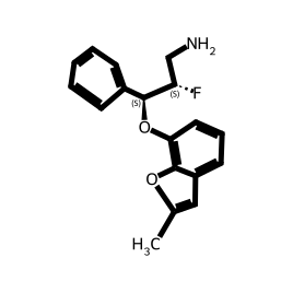 Cc1cc2cccc(O[C@@H](c3ccccc3)[C@@H](F)CN)c2o1